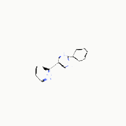 c1ccc(-c2ncc(-c3ccccn3)cn2)cc1